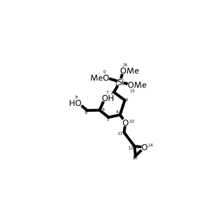 CO[Si](CCC(CC(O)CO)OCC1CO1)(OC)OC